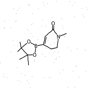 CN1CCC(B2OC(C)(C)C(C)(C)O2)=CC1=O